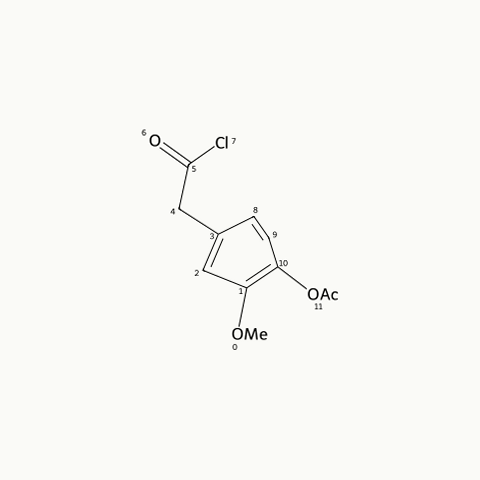 COc1cc(CC(=O)Cl)ccc1OC(C)=O